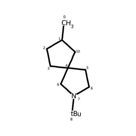 CC1CCC2(CCN(C(C)(C)C)C2)C1